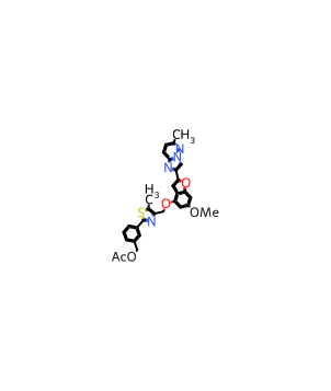 COc1cc(OCc2nc(-c3cccc(COC(C)=O)c3)sc2C)c2cc(-c3cn4nc(C)ccc4n3)oc2c1